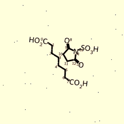 O=C(O)CCCCCCC(=O)O.O=C1CCC(=O)N1S(=O)(=O)O